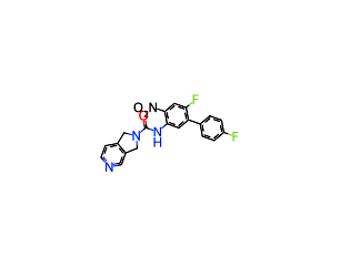 O=C(Nc1cc(-c2ccc(F)cc2)c(F)cc1[N+](=O)[O-])N1Cc2ccncc2C1